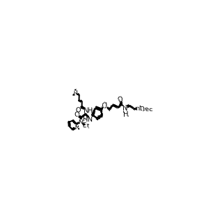 CCCCCCCCCCCCNC(=O)CCCOc1ccc(NC(NC(=O)CCCN(C)C)C(=O)N(CC)c2ccccn2)cc1